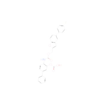 O=C(O)Oc1cc(-c2ccccc2)ccc1NC(=O)OCc1cc2cc(-c3ccc(F)cc3)ccc2o1